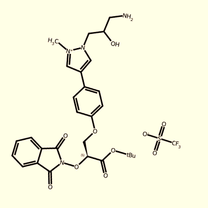 C[n+]1cc(-c2ccc(OC[C@H](ON3C(=O)c4ccccc4C3=O)C(=O)OC(C)(C)C)cc2)cn1CC(O)CN.O=S(=O)([O-])C(F)(F)F